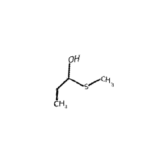 CC[C](O)SC